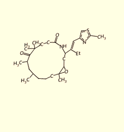 CC/C(=C\c1csc(C)n1)C1CC2OC2(C)CCCC(C)CC(C)C(=O)C(C)(C)CCC(=O)N1